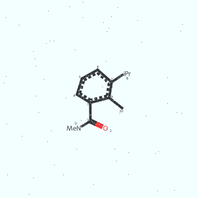 CNC(=O)c1cccc(C(C)C)c1C